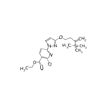 C=C(CCOc1ccn(-c2ccc(C(=O)OCC)c(Cl)n2)n1)[Si](C)(C)C